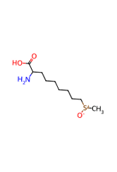 C[S+]([O-])CCCCCCCC(N)C(=O)O